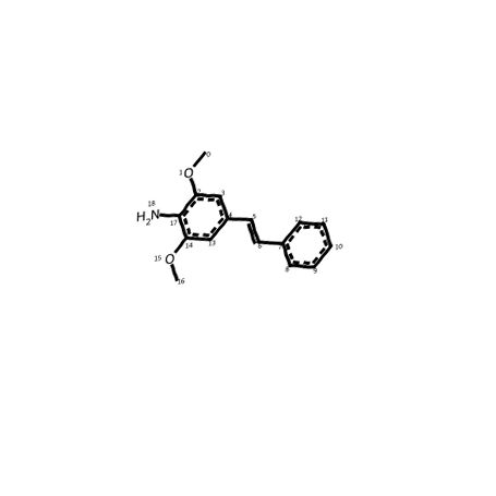 COc1cc(C=Cc2ccccc2)cc(OC)c1N